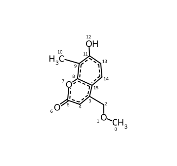 COCc1cc(=O)oc2c(C)c(O)ccc12